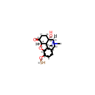 CN1CC[C@]23c4c5ccc(OS)c4O[C@H]2C(=O)CC[C@@]3(O)[C@H]1C5